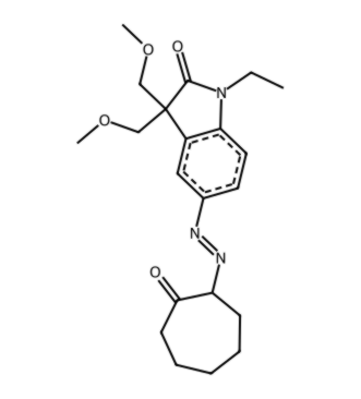 CCN1C(=O)C(COC)(COC)c2cc(/N=N/C3CCCCCC3=O)ccc21